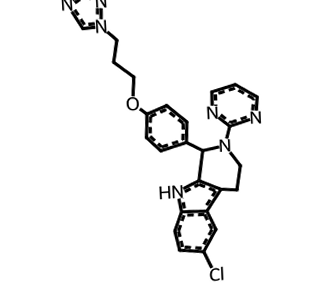 Clc1ccc2[nH]c3c(c2c1)CCN(c1ncccn1)C3c1ccc(OCCCn2cncn2)cc1